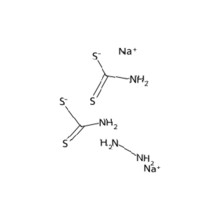 NC(=S)[S-].NC(=S)[S-].NN.[Na+].[Na+]